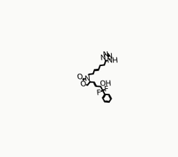 O=C1OCC(C=CC(O)C(F)(F)c2ccccc2)N1CCC=CCCc1nnn[nH]1